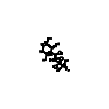 O=C(NS(=O)(=O)C(F)(F)F)c1c(I)ccc(I)c1I